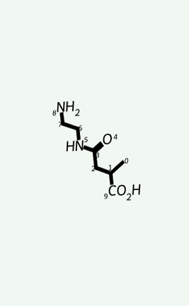 CC(CC(=O)NCCN)C(=O)O